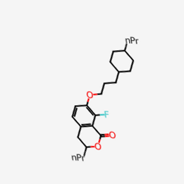 CCCC1CCC(CCCOc2ccc3c(c2F)C(=O)OC(CCC)C3)CC1